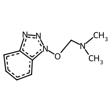 CN(C)COn1nnc2ccccc21